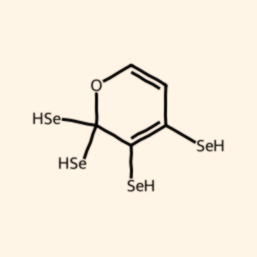 [SeH]C1=C([SeH])C([SeH])([SeH])OC=C1